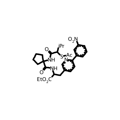 CCOC(=O)C(Cc1ccc(-c2cccc([N+](=O)[O-])c2)nc1)NC(=O)C1(NC(=O)C(SC(C)=O)C(C)C)CCCC1